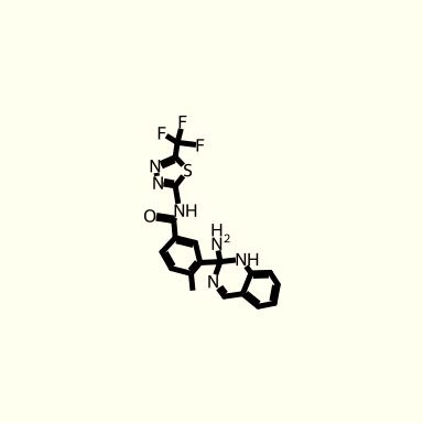 Cc1ccc(C(=O)Nc2nnc(C(F)(F)F)s2)cc1C1(N)N=Cc2ccccc2N1